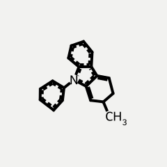 CC1C=c2c(c3ccccc3n2-c2ccccc2)=CC1